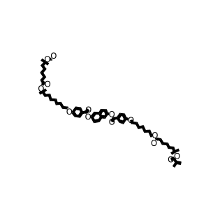 C=C(C)C(=O)OC(C)(C)CCCCCC(=O)OCCCCCCCOc1ccc(C(=O)Oc2ccc3cc(OC(=O)c4ccc(OCCCCCCCCC(C)(C)OC(=O)CCCCCC(C)(C)OC=O)cc4)ccc3c2)cc1